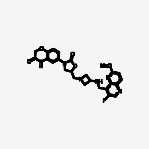 COc1ccc2ncc(F)c(CNC3CN(CC4CN(c5ccc6c(c5)NC(=O)CO6)C(=O)O4)C3)c2n1